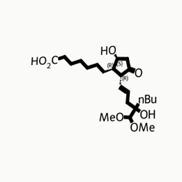 CCCCC(O)(CC=C[C@H]1C(=O)C[C@H](O)[C@@H]1CCCCCCC(=O)O)C(OC)OC